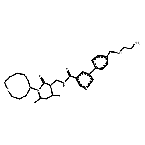 CC1CC(C)N(C2CCCCCCCCC2)C(=O)C1CNC(=O)c1cncc(-c2ccc(CNCCN)cc2)c1